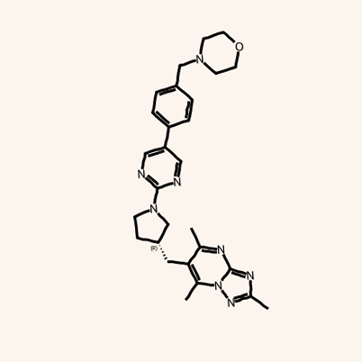 Cc1nc2nc(C)c(C[C@@H]3CCN(c4ncc(-c5ccc(CN6CCOCC6)cc5)cn4)C3)c(C)n2n1